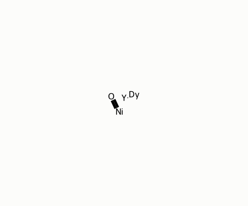 [Dy].[O]=[Ni].[Y]